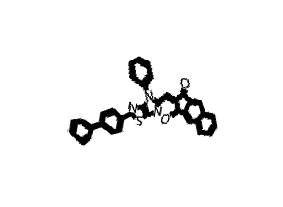 O=C1C(=Cc2nc3sc(-c4ccc(-c5ccccc5)cc4)nc3n2-c2ccccc2)C(=O)c2cc3ccccc3cc21